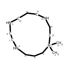 C[N+]1(C)CCCNCCNCCCNCC1